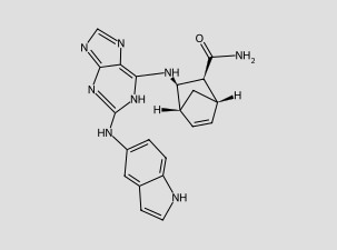 NC(=O)[C@@H]1[C@H](Nc2[nH]c(Nc3ccc4[nH]ccc4c3)nc3ncnc2-3)[C@H]2C=C[C@@H]1C2